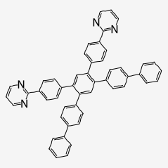 c1ccc(-c2ccc(-c3cc(-c4ccc(-c5ccccc5)cc4)c(-c4ccc(-c5ncccn5)cc4)cc3-c3ccc(-c4ncccn4)cc3)cc2)cc1